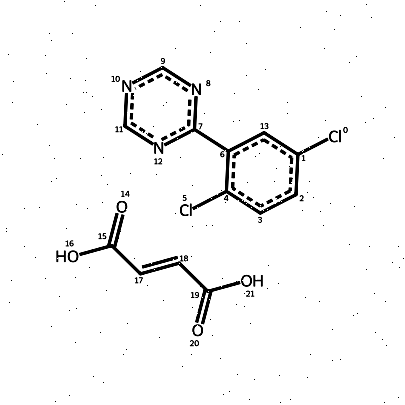 Clc1ccc(Cl)c(-c2ncncn2)c1.O=C(O)C=CC(=O)O